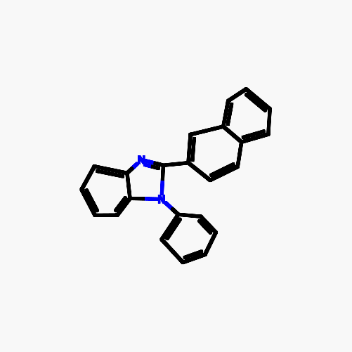 c1ccc(-n2c(-c3ccc4ccccc4c3)nc3ccccc32)cc1